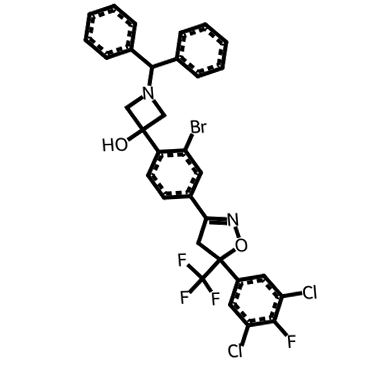 OC1(c2ccc(C3=NOC(c4cc(Cl)c(F)c(Cl)c4)(C(F)(F)F)C3)cc2Br)CN(C(c2ccccc2)c2ccccc2)C1